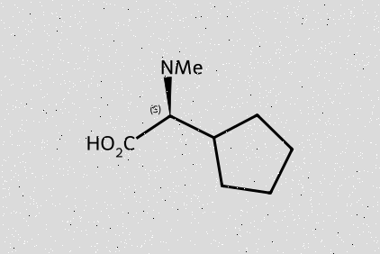 CN[C@H](C(=O)O)C1CCCC1